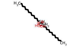 CCCCCCCCCCCCC[SiH2][Cr](=[O])(=[O])([OH])([OH])[SiH2]CCCCCCCCCCCCC